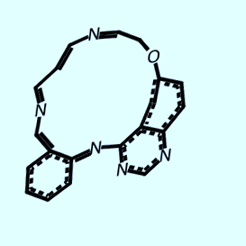 C1=N/C=C/C=N/C=c2/cccc/c2=N\c2ncnc3ccc(cc23)OC\1